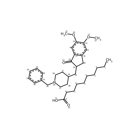 CCCCCCCCCC(=O)O.COc1cc2c(cc1OC)C(=O)C(CC1CCN(Cc3ccccc3)CC1)C2